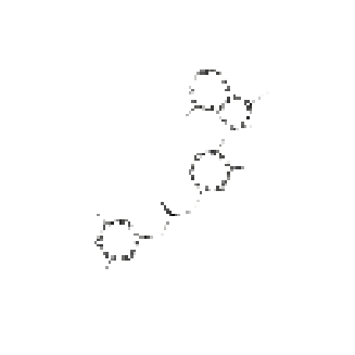 Cc1nn(-c2ccc(NC(=O)[C@H](O)c3cc(Cl)cc(Cl)c3)cc2Cl)c2c(N)ncnc12